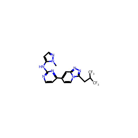 Cn1nccc1Nc1nccc(-c2ccn3c(CC(C(F)(F)F)C(F)(F)F)nnc3c2)n1